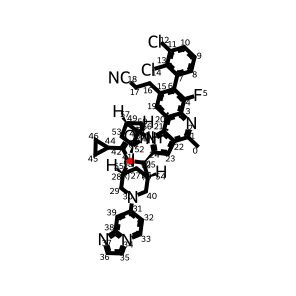 Cc1nc2c(F)c(-c3cccc(Cl)c3Cl)c(CCC#N)cc2c2c1cc([C@H]1[C@H]3C[C@H](CN(c4ccn5ccnc5c4)C3)N1C(=O)C1CC1)n2[C@H]1[C@H]2CN[C@@H]1C2